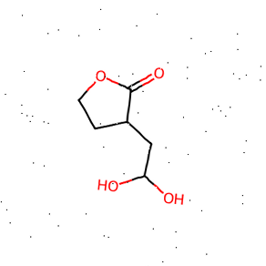 O=C1OCCC1CC(O)O